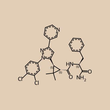 CC1(C)[C@@H](C(=O)N[C@@H](Cc2ccccc2)C(N)=O)[C@@H]1c1cc(-c2cccnc2)nn1-c1ccc(Cl)c(Cl)c1